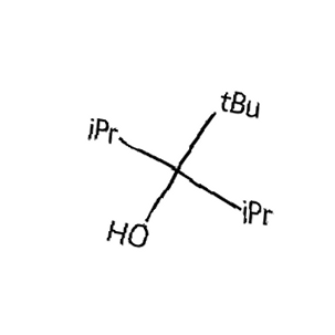 CC(C)C(O)(C(C)C)C(C)(C)C